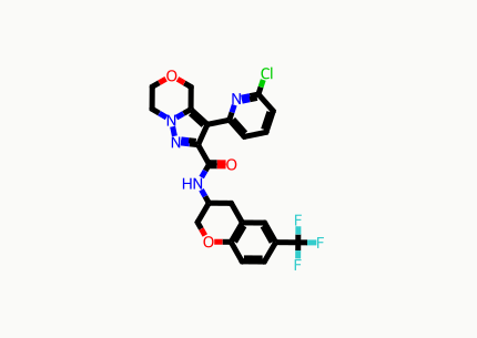 O=C(NC1COc2ccc(C(F)(F)F)cc2C1)c1nn2c(c1-c1cccc(Cl)n1)COCC2